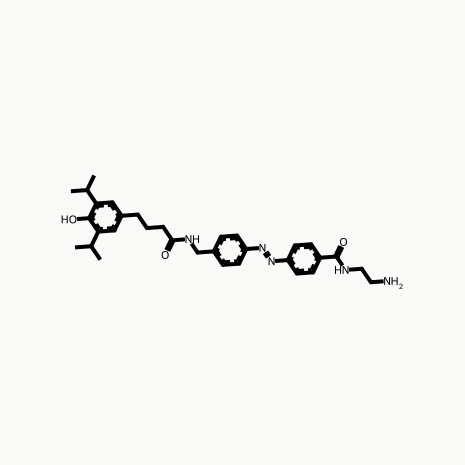 CC(C)c1cc(CCCC(=O)NCc2ccc(N=Nc3ccc(C(=O)NCCN)cc3)cc2)cc(C(C)C)c1O